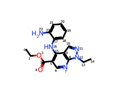 CCOC(=O)c1cnc2c(cnn2CC)c1Nc1ccccc1N